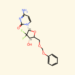 Nc1ccn([C@@H]2OC(COCOc3ccccc3)[C@H](O)C2(F)F)c(=O)n1